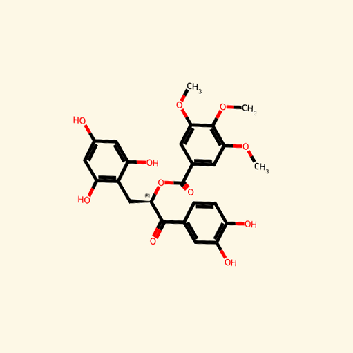 COc1cc(C(=O)O[C@H](Cc2c(O)cc(O)cc2O)C(=O)c2ccc(O)c(O)c2)cc(OC)c1OC